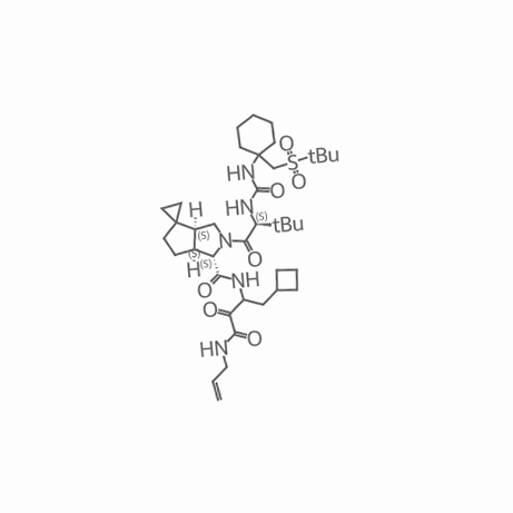 C=CCNC(=O)C(=O)C(CC1CCC1)NC(=O)[C@@H]1[C@H]2CCC3(CC3)[C@H]2CN1C(=O)[C@@H](NC(=O)NC1(CS(=O)(=O)C(C)(C)C)CCCCC1)C(C)(C)C